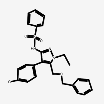 CCn1nc(NS(=O)(=O)c2ccccc2)c(-c2ccc(Cl)cc2)c1COCc1ccccc1